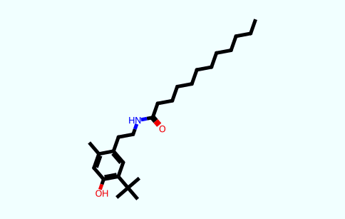 CCCCCCCCCCCC(=O)NCCc1cc(C(C)(C)C)c(O)cc1C